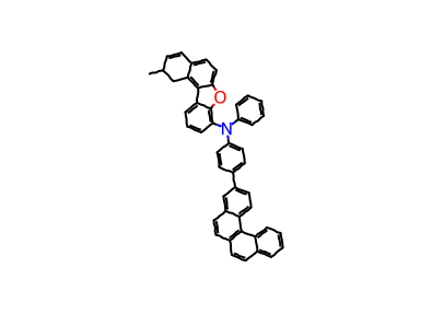 CC1C=Cc2ccc3oc4c(N(c5ccccc5)c5ccc(-c6ccc7c(ccc8ccc9ccccc9c87)c6)cc5)cccc4c3c2C1